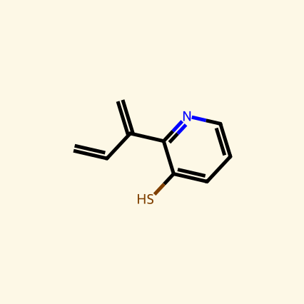 C=CC(=C)c1ncccc1S